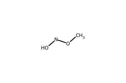 CO[N]O